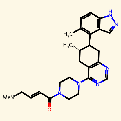 CNC/C=C/C(=O)N1CCN(c2ncnc3c2C[C@H](C)[C@@H](c2c(C)ccc4[nH]ncc24)C3)CC1